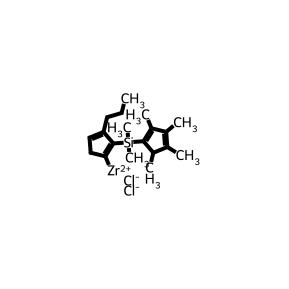 CCCC1=CC[C]([Zr+2])=C1[Si](C)(C)C1=C(C)C(C)=C(C)C1C.[Cl-].[Cl-]